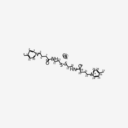 Cc1cc[n+](CCCC(=O)NCCSSCCNC(=O)CCC[n+]2ccc(C)cc2)cc1.[Cl-].[Cl-]